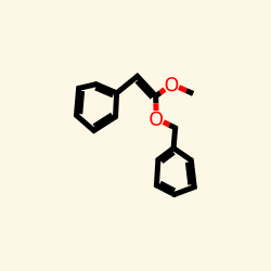 COC(=Cc1ccccc1)OCc1ccccc1